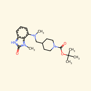 CN(CC1CCN(C(=O)OC(C)(C)C)CC1)c1cccc2[nH]c(=O)n(C)c12